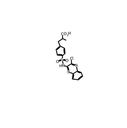 CC(Cc1ccc(S(=O)(=O)Nc2nc3ccccc3nc2Cl)cc1)C(=O)O